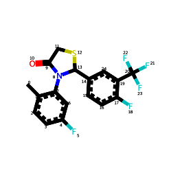 Cc1ccc(F)cc1N1C(=O)CSC1c1ccc(F)c(C(F)(F)F)c1